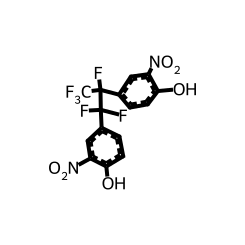 O=[N+]([O-])c1cc(C(F)(F)C(F)(c2ccc(O)c([N+](=O)[O-])c2)C(F)(F)F)ccc1O